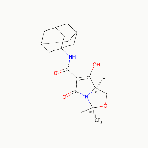 C[C@]1(C(F)(F)F)OC[C@@H]2C(O)=C(C(=O)NC34CC5CC(CC(C5)C3)C4)C(=O)N21